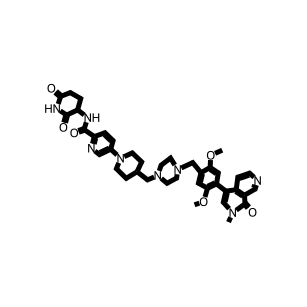 COc1cc(-c2cn(C)c(=O)c3cnccc23)c(OC)cc1CN1CCN(CC2CCN(c3ccc(C(=O)NC4CCC(=O)NC4=O)nc3)CC2)CC1